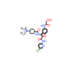 CN(C)C1CCC(C(=O)Nc2c(C(=O)Nc3ccc(Cl)cn3)oc3ccc(NC(=O)CO)cc23)CC1